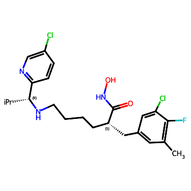 Cc1cc(C[C@H](CCCCN[C@@H](c2ccc(Cl)cn2)C(C)C)C(=O)NO)cc(Cl)c1F